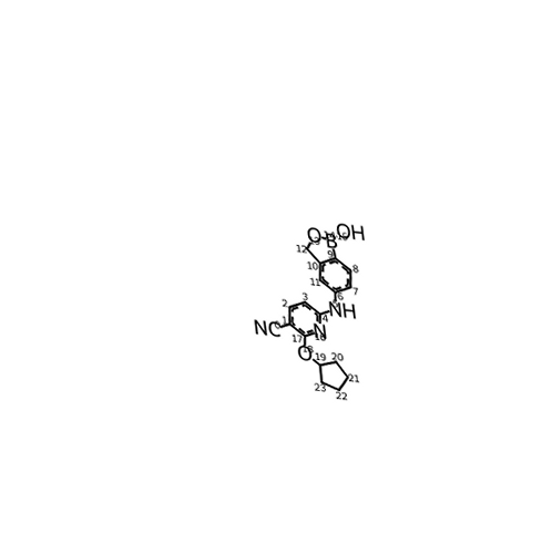 N#Cc1ccc(Nc2ccc3c(c2)COB3O)nc1OC1CCCC1